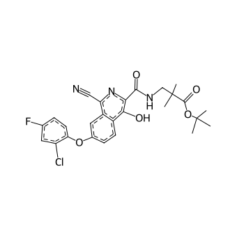 CC(C)(C)OC(=O)C(C)(C)CNC(=O)c1nc(C#N)c2cc(Oc3ccc(F)cc3Cl)ccc2c1O